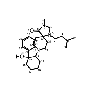 CC(C)CCN1CNC(=O)C12CCN(C1CCCCC1(O)c1ccccc1)CC2